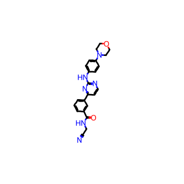 N#CCNC(=O)c1cccc(-c2ccnc(Nc3ccc(N4CCOCC4)cc3)n2)c1